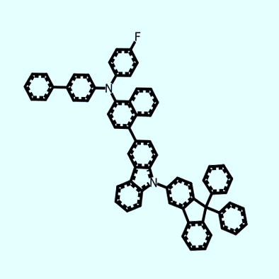 Fc1ccc(N(c2ccc(-c3ccccc3)cc2)c2ccc(-c3ccc4c(c3)c3ccccc3n4-c3ccc4c(c3)-c3ccccc3C4(c3ccccc3)c3ccccc3)c3ccccc23)cc1